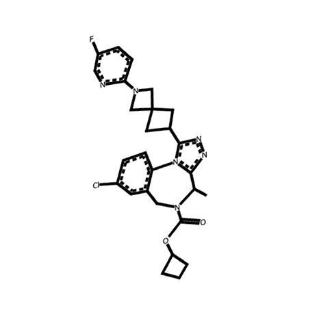 CC1c2nnc(C3CC4(C3)CN(c3ccc(F)cn3)C4)n2-c2ccc(Cl)cc2CN1C(=O)OC1CCC1